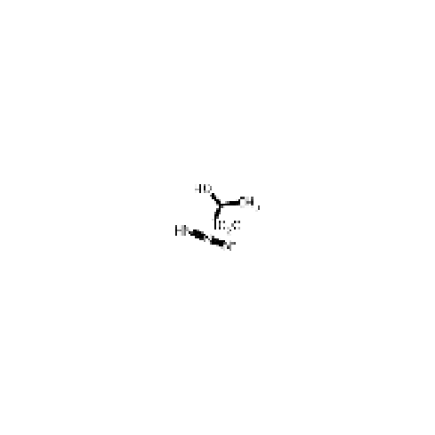 CC(O)C(=O)O.[N-]=[N+]=N